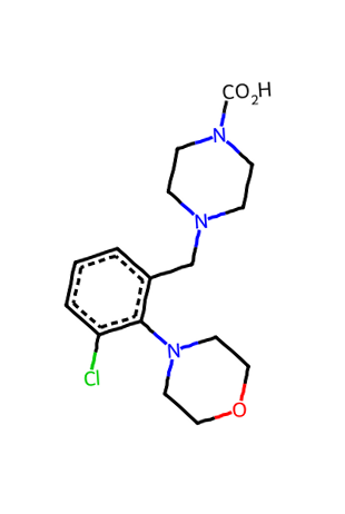 O=C(O)N1CCN(Cc2cccc(Cl)c2N2CCOCC2)CC1